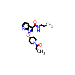 C=CC(=O)N1CCC(On2cc(C(=O)NCCC(F)(F)F)c3cccnc32)CC1